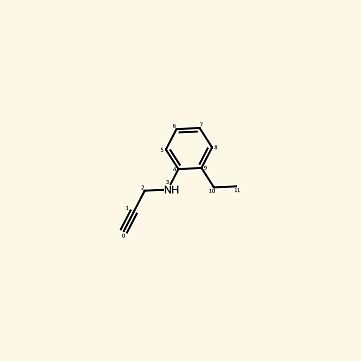 C#CCNc1ccccc1CC